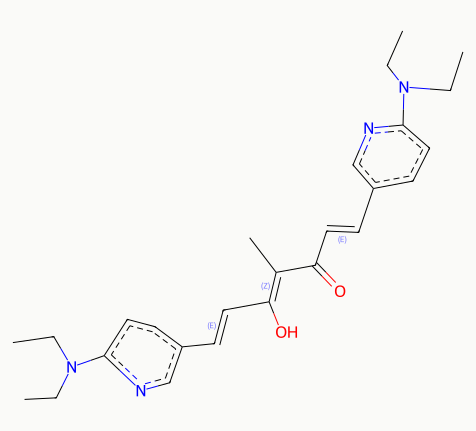 CCN(CC)c1ccc(/C=C/C(=O)/C(C)=C(O)/C=C/c2ccc(N(CC)CC)nc2)cn1